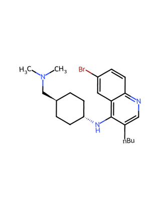 CCCCc1cnc2ccc(Br)cc2c1N[C@H]1CC[C@H](CN(C)C)CC1